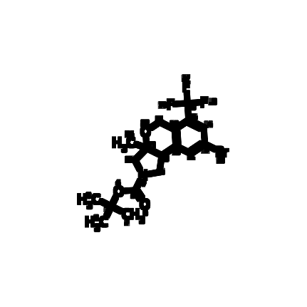 CC(C)(C)OC(=O)N1CC2c3cc(Br)cc(C(F)(F)F)c3COC2(C)C1